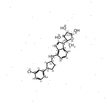 C[C@@]1(n2cnc3c(N[C@H]4CCN(c5cc(Cl)ncn5)C4)ncnc32)O[C@@H](O)[C@@H](O)[C@H]1O